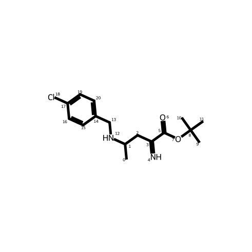 CC(CC(=N)C(=O)OC(C)(C)C)NCc1ccc(Cl)cc1